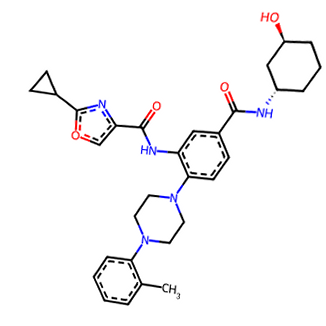 Cc1ccccc1N1CCN(c2ccc(C(=O)N[C@H]3CCC[C@H](O)C3)cc2NC(=O)c2coc(C3CC3)n2)CC1